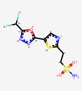 NS(=O)(=O)CCc1ncc(-c2nnc(C(F)F)o2)s1